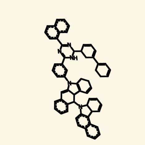 C1=CCCC(C2=CC=CC(C3N=C(c4cccc5ccccc45)N=C(c4cccc(N5C6=Cc7ccccc7C(N7c8ccc9ccccc9c8C8C=CC=CC87)C6C6=C5CCC=C6)c4)N3)C2)=C1